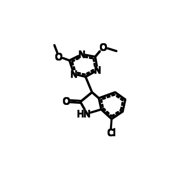 COc1nc(OC)nc(C2C(=O)Nc3c(Cl)cccc32)n1